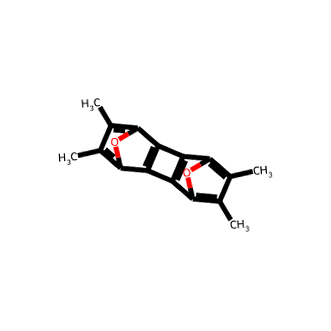 Cc1c(C)c2oc1c1c2-c2c-1c1oc2c(C)c1C